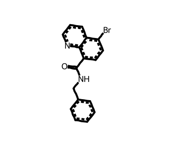 O=C(NCc1ccccc1)c1ccc(Br)c2cccnc12